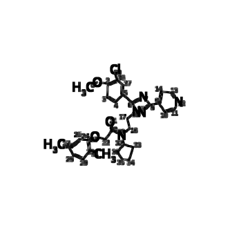 COc1ccc(-c2nc(-c3ccncc3)nn2CCN(C(=O)COc2cc(C)ccc2C)C2CCCC2)cc1Cl